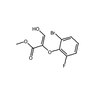 COC(=O)/C(=C\O)Oc1c(F)cccc1Br